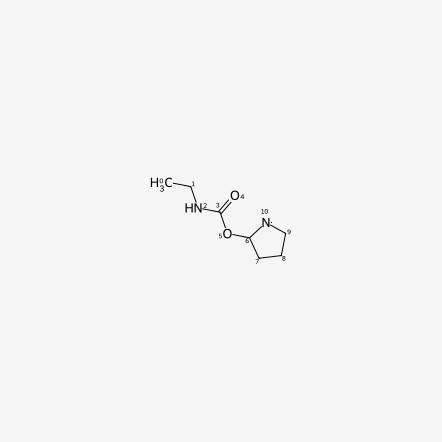 CCNC(=O)OC1CCC[N]1